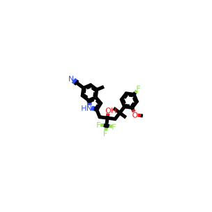 COc1cc(F)ccc1C(C)(C)CC(O)(Cc1cc2c(C)cc(C#N)cc2[nH]1)C(F)(F)F